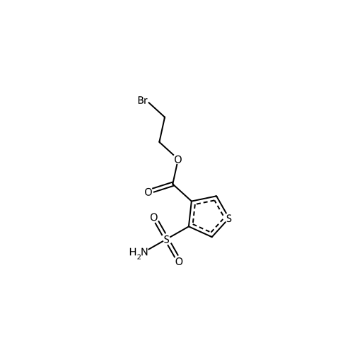 NS(=O)(=O)c1cscc1C(=O)OCCBr